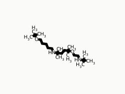 CC(C)(C)NCCOC(C)(C)CCC(C)(C)NCCCCCOC(C)(C)C